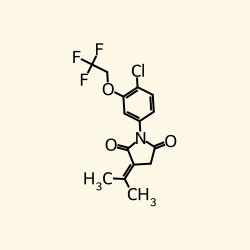 CC(C)=C1CC(=O)N(c2ccc(Cl)c(OCC(F)(F)F)c2)C1=O